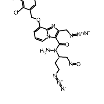 [N-]=[N+]=NCC[C@H](CN=O)N(N)C(=O)c1c(CN=[N+]=[N-])nc2c(OCc3cccc(Cl)c3Cl)cccn12